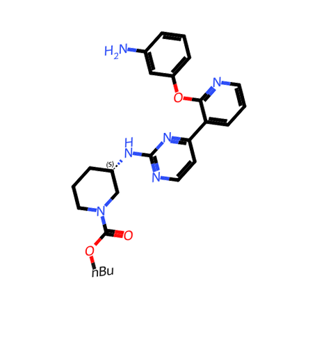 CCCCOC(=O)N1CCC[C@H](Nc2nccc(-c3cccnc3Oc3cccc(N)c3)n2)C1